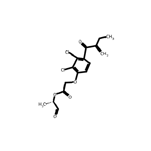 C=C(CC)C(=O)c1ccc(OCC(=O)O[C@@H](C)C=O)c(Cl)c1Cl